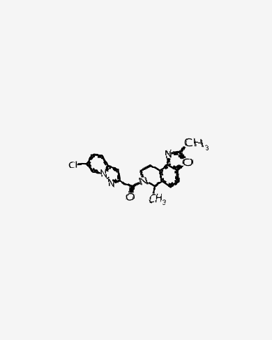 Cc1nc2c3c(ccc2o1)C(C)N(C(=O)c1cc2ccc(Cl)cn2n1)CC3